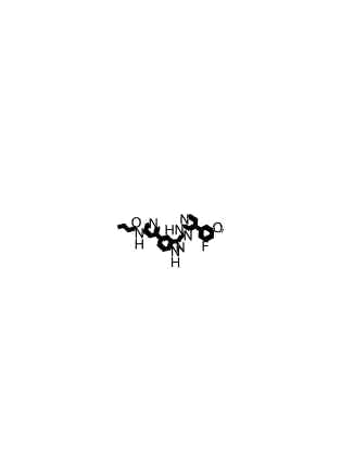 CCCC(=O)Nc1cncc(-c2ccc3[nH]nc(-c4nc5c(-c6cc(F)cc(OC)c6)ccnc5[nH]4)c3c2)c1